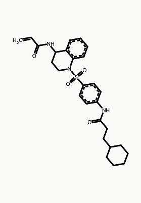 C=CC(=O)NC1CCN(S(=O)(=O)c2ccc(NC(=O)CCC3CCCCC3)cc2)c2ccccc21